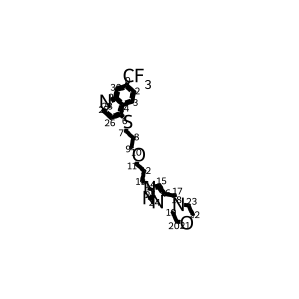 FC(F)(F)c1ccc2c(SCCCOCCCn3cc(CN4CCOCC4)nn3)ccnc2c1